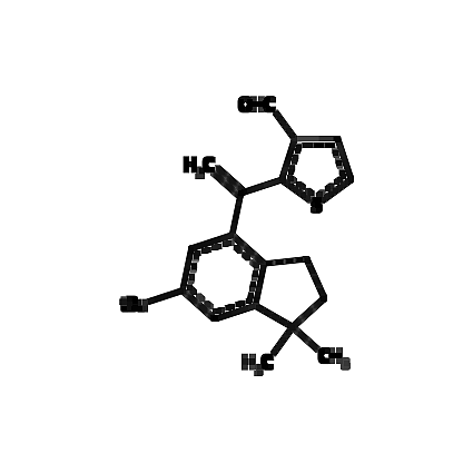 C=C(c1cc(C(C)(C)C)cc2c1CCC2(C)C)c1sccc1C=O